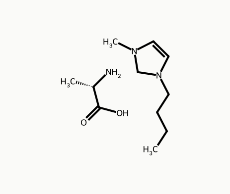 CCCCN1C=CN(C)C1.C[C@H](N)C(=O)O